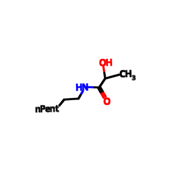 CCCCCCCNC(=O)C(C)O